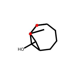 OC1C2CCCC3CC(C2)CC1C3